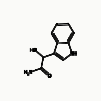 NC(=O)C(O)c1c[nH]c2ccccc12